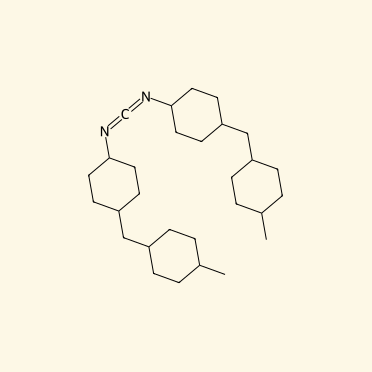 CC1CCC(CC2CCC(N=C=NC3CCC(CC4CCC(C)CC4)CC3)CC2)CC1